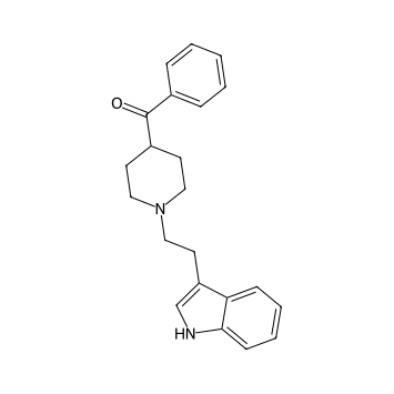 O=C(c1ccccc1)C1CCN(CCc2c[nH]c3ccccc23)CC1